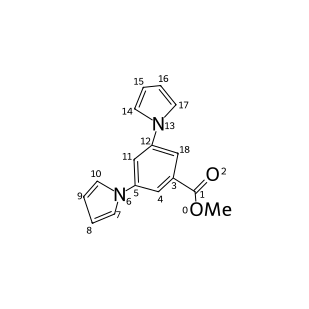 COC(=O)c1cc(-n2cccc2)cc(-n2cccc2)c1